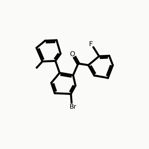 Cc1ccccc1-c1ccc(Br)cc1C(=O)c1ccccc1F